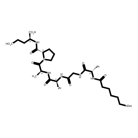 CCCCCCCCCCCCCCCC(=O)N[C@H](C(=O)NCC(=O)N[C@H](C(=O)N[C@@H](C)C(=O)N1CCC[C@H]1C(=O)N[C@@H](CCC(=O)O)C(=O)O)C(C)C)C(C)C